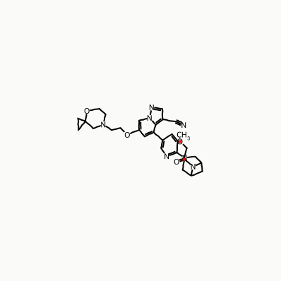 COCC(=O)N1C2CC1CN(c1ccc(-c3cc(OCCN4CCOC5(CC5)C4)cn4ncc(C#N)c34)cn1)C2